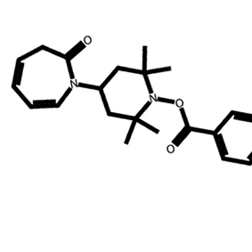 CC1(C)CC(N2C=CC=CCC2=O)CC(C)(C)N1OC(=O)c1ccccc1